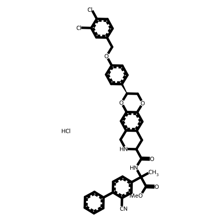 COC(=O)C(C)(NC(=O)C1Cc2cc3c(cc2CN1)O[C@@H](c1ccc(OCc2ccc(Cl)c(Cl)c2)cc1)CO3)c1ccc(-c2ccccc2)c(C#N)c1.Cl